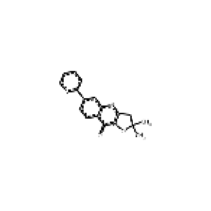 CC1(C)Cc2nc3cc(-c4ccccn4)ccc3c(=O)n2O1